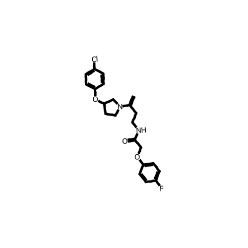 C=C(CCNC(=O)COc1ccc(F)cc1)N1CCC(Oc2ccc(Cl)cc2)C1